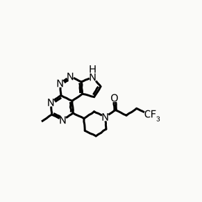 Cc1nc(C2CCCN(C(=O)CCC(F)(F)F)C2)c2c(nnc3[nH]ccc32)n1